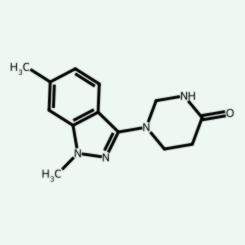 Cc1ccc2c(N3CCC(=O)NC3)nn(C)c2c1